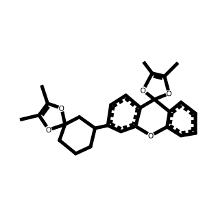 CC1=C(C)OC2(CCCC(c3ccc4c(c3)Oc3ccccc3C43OC(C)=C(C)O3)C2)O1